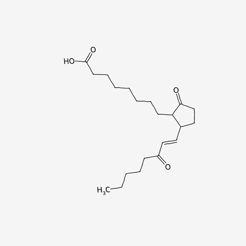 CCCCCC(=O)/C=C/C1CCC(=O)C1CCCCCCCC(=O)O